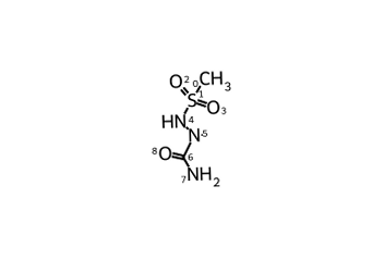 CS(=O)(=O)N[N]C(N)=O